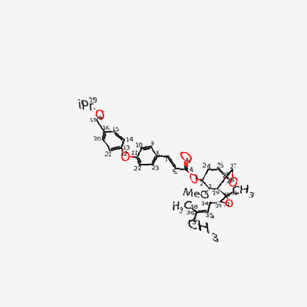 CO[C@@H]1C(OC(=O)/C=C/c2ccc(Oc3ccc(COC(C)C)cc3)cc2)CC[C@]2(CO2)[C@H]1C1(C)O[C@H]1CC=C(C)C